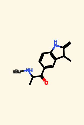 C=C1Nc2ccc(C(=O)C(C)NCCCC)cc2C1C